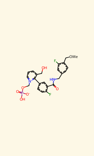 COCc1ccc(CNC(=O)c2cc(-c3c(CO)ccc[n+]3COP(=O)([O-])O)ccc2F)cc1F